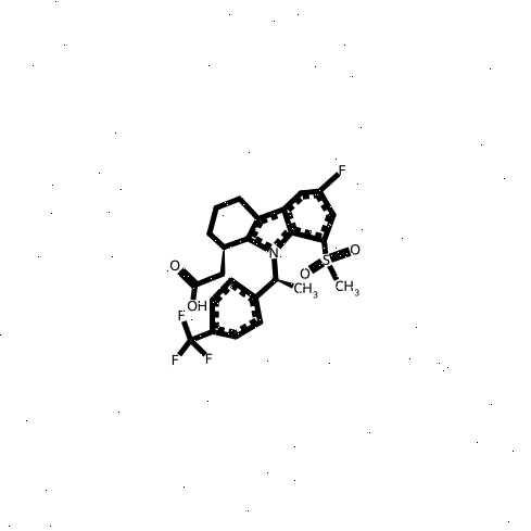 C[C@@H](c1ccc(C(F)(F)F)cc1)n1c2c(c3cc(F)cc(S(C)(=O)=O)c31)CCC[C@@H]2CC(=O)O